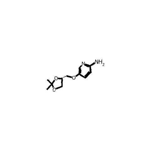 CC1(C)OC[C@@H](COc2ccc(N)nc2)O1